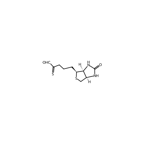 O=[C]C(=S)CCC[C@@H]1SC[C@@H]2NC(=O)N[C@@H]21